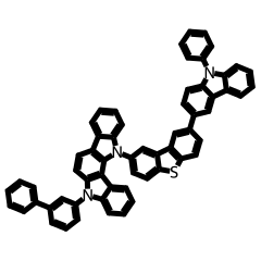 c1ccc(-c2cccc(-n3c4ccccc4c4c3ccc3c5ccccc5n(-c5ccc6sc7ccc(-c8ccc9c(c8)c8ccccc8n9-c8ccccc8)cc7c6c5)c34)c2)cc1